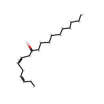 CC/C=C\C/C=C\CC(=O)CCCCCCCCCC